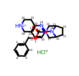 Cl.O=C(OCc1ccccc1)N1CC2CCC(C1)N2c1ccc2c(n1)CCNC2